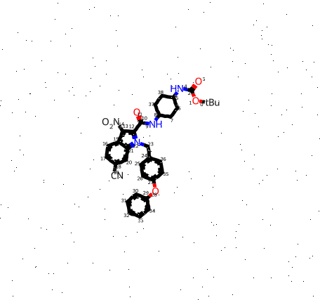 CC(C)(C)OC(=O)NC1CCC(NC(=O)c2c([N+](=O)[O-])c3ccc(C#N)cc3n2Cc2ccc(Oc3ccccc3)cc2)CC1